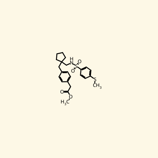 COC(=O)Cc1ccc(CC2(CNS(=O)(=O)c3ccc(SC)cc3)CCCC2)cc1